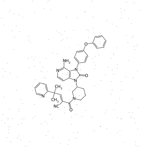 CC(C)(C=C(C#N)C(=O)N1CCCC(n2c(=O)n(-c3ccc(Oc4ccccc4)cc3)c3c(N)nccc32)C1)c1ccccn1